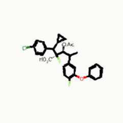 CC(=O)O[C@@H](C(C)c1ccc(F)c(Oc2ccccc2)c1)[C@](F)(C(=O)O)C(c1ccc(Cl)cc1)C1CC1